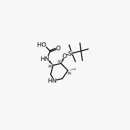 C[C@@H]1CNC[C@@H](NC(=O)O)[C@H]1O[Si](C)(C)C(C)(C)C